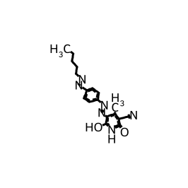 CCCCCN=Nc1ccc(N=Nc2c(O)[nH]c(=O)c(C#N)c2C)cc1